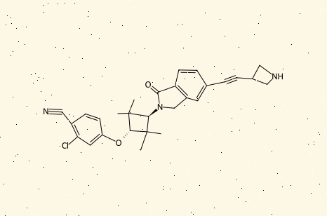 CC1(C)[C@H](Oc2ccc(C#N)c(Cl)c2)C(C)(C)[C@H]1N1Cc2cc(C#CC3CNC3)ccc2C1=O